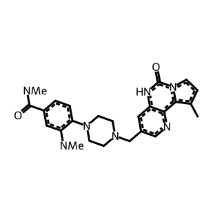 CNC(=O)c1ccc(N2CCN(Cc3cnc4c(c3)[nH]c(=O)n3ccc(C)c43)CC2)c(NC)c1